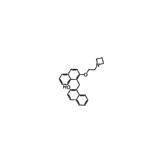 Oc1ccc2ccccc2c1Cc1c(OCCN2CCC2)ccc2ccccc12